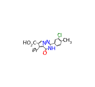 Cc1ccc(-c2nn3cc(C(=O)O)c(C(C)C)c3c(=O)[nH]2)cc1Cl